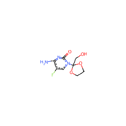 Nc1nc(=O)n(C2(CO)OCCO2)cc1F